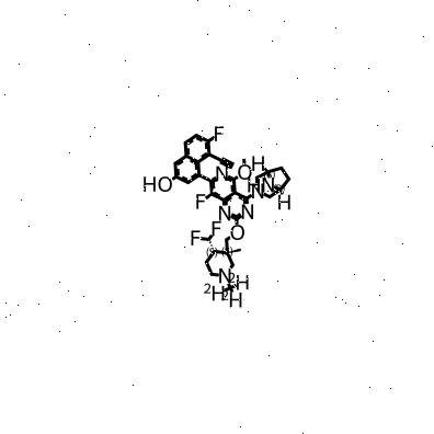 [2H]C([2H])([2H])N1CC[C@H](C(F)F)[C@](C)(COc2nc(N3C[C@H]4CC[C@@H](C3)N4)c3c(OC)nc(-c4cc(O)cc5ccc(F)c(C#C)c45)c(F)c3n2)C1